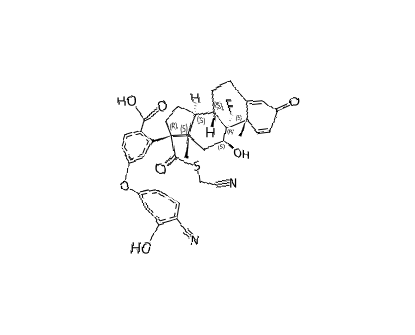 C[C@]12C=CC(=O)C=C1CC[C@H]1[C@@H]3CC[C@](C(=O)SCC#N)(c4cc(Oc5ccc(C#N)c(O)c5)ccc4C(=O)O)[C@@]3(C)C[C@H](O)[C@@]12F